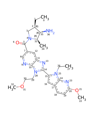 CC[C@@H]1CN(C(=O)c2cnc3c(c2)nc(-c2cc4ccc(OC)nc4n2CC)n3CCOC)[C@H](C)[C@@H]1N